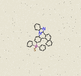 S=P(c1ccccc1)(c1ccccc1)c1ccc2c(c1)c1c3ccccc3ccc1c1nc3ccccc3n21